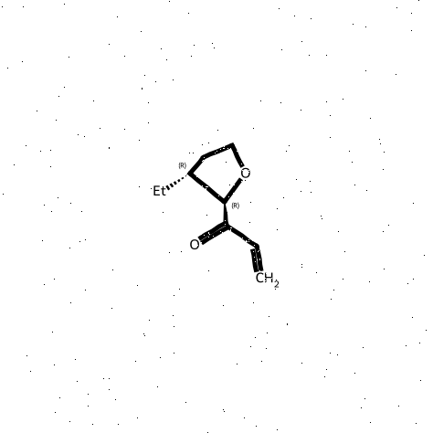 C=CC(=O)[C@@H]1OCC[C@H]1CC